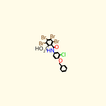 O=C(O)c1c(Br)c(Br)c(Br)c(Br)c1C(=O)Nc1ccc(OCc2ccccc2)c(Cl)c1